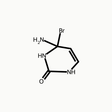 NC1(Br)C=CNC(=O)N1